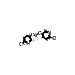 Clc1ccc(OBOc2ccc(Cl)nc2)cn1